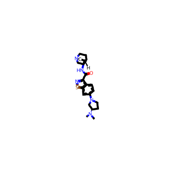 CN(C)[C@H]1CCN(c2ccc3c(C(=O)N[C@@H]4CN5CCC4CC5)nsc3c2)C1